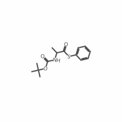 CC(NC(=O)OC(C)(C)C)C(=O)Sc1ccccc1